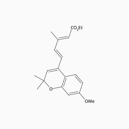 CCOC(=O)C=C(C)C=CC1=CC(C)(C)Oc2cc(OC)ccc21